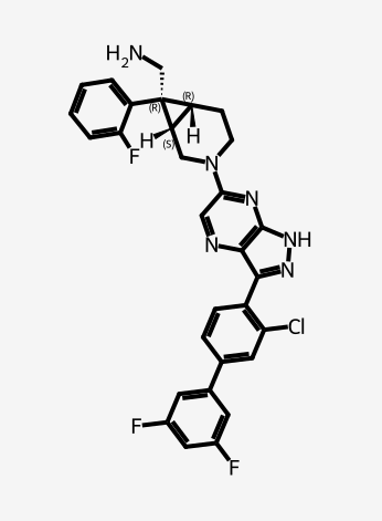 NC[C@]1(c2ccccc2F)[C@@H]2CCN(c3cnc4c(-c5ccc(-c6cc(F)cc(F)c6)cc5Cl)n[nH]c4n3)C[C@@H]21